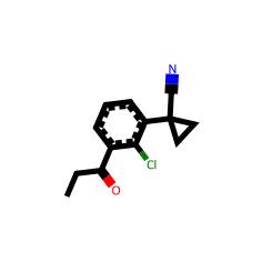 CCC(=O)c1cccc(C2(C#N)CC2)c1Cl